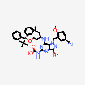 CCCC(CCO[Si](c1ccccc1)(c1ccccc1)C(C)(C)C)Nc1nc(NC(=O)O)nc2c(Br)nn(Cc3cc(C#N)ccc3OC)c12